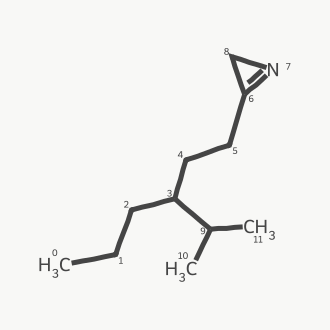 CCCC(CCC1=NC1)C(C)C